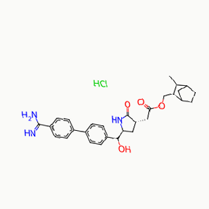 CC1C2CCC(C2)C1COC(=O)C[C@@H]1C[C@@H](C(O)c2ccc(-c3ccc(C(=N)N)cc3)cc2)NC1=O.Cl